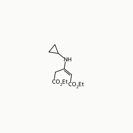 CCOC(=O)C=C(CC(=O)OCC)NC1CC1